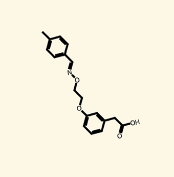 Cc1ccc(C=NOCCOc2cccc(CC(=O)O)c2)cc1